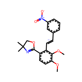 COc1ccc(C2=NC(C)(C)CO2)c(/C=C/c2cccc([N+](=O)[O-])c2)c1OC